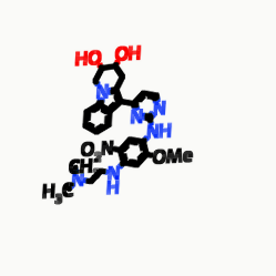 COc1cc(NCCN(C)C)c([N+](=O)[O-])cc1Nc1nccc(-c2c3n(c4ccccc24)CC(O)C(O)C3)n1